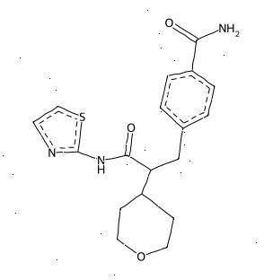 NC(=O)c1ccc(CC(C(=O)Nc2nccs2)C2CCOCC2)cc1